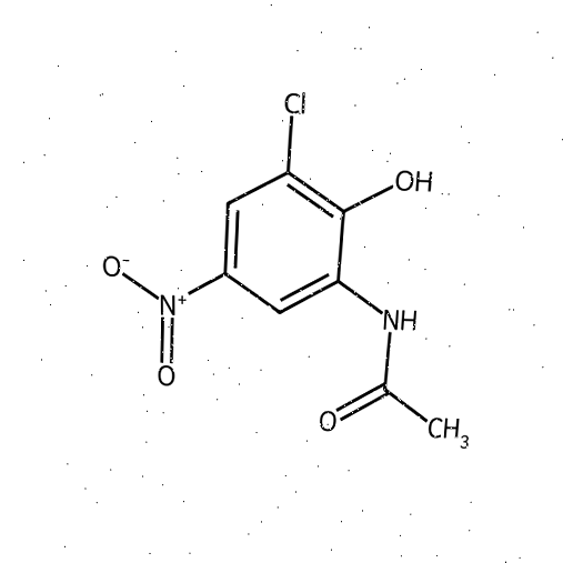 CC(=O)Nc1cc([N+](=O)[O-])cc(Cl)c1O